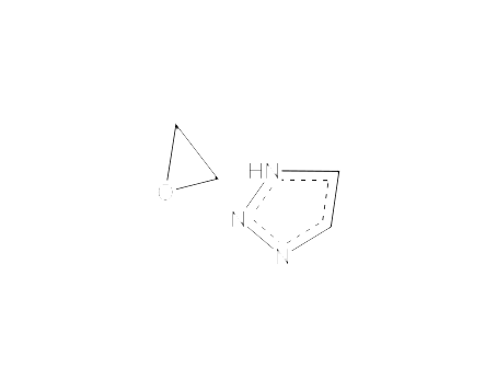 C1CO1.c1c[nH]nn1